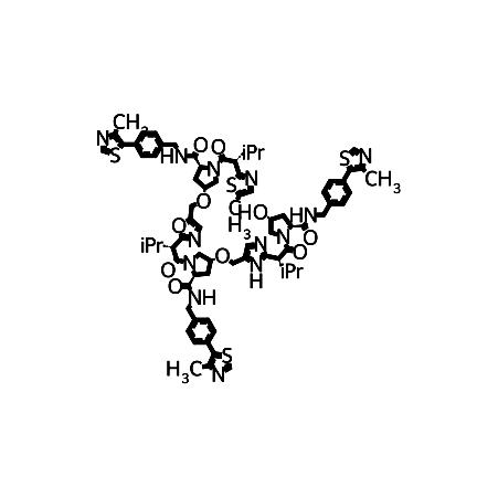 Cc1cnc([C@H](C(=O)N2C[C@H](OCc3cnc([C@H](C(=O)N4C[C@H](OCc5cnc([C@H](C(=O)N6C[C@H](O)C[C@H]6C(=O)NCc6ccc(-c7scnc7C)cc6)C(C)C)[nH]5)C[C@H]4C(=O)NCc4ccc(-c5scnc5C)cc4)C(C)C)o3)C[C@H]2C(=O)NCc2ccc(-c3scnc3C)cc2)C(C)C)s1